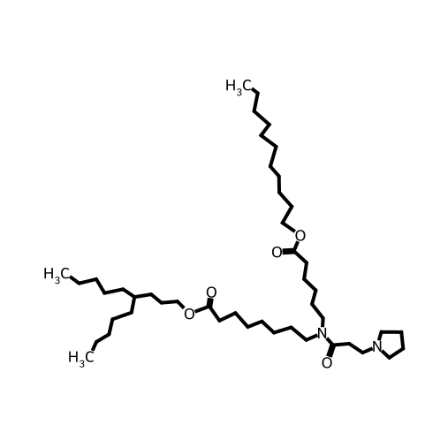 CCCCCCCCCCCOC(=O)CCCCCN(CCCCCCCC(=O)OCCCC(CCCCC)CCCCC)C(=O)CCN1CCCC1